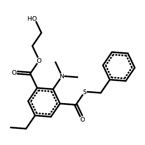 CCc1cc(C(=O)OCCO)c(N(C)C)c(C(=O)SCc2ccccc2)c1